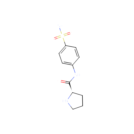 NS(=O)(=O)c1ccc(NC(=O)[C@H]2CCCN2)cc1